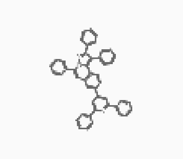 c1ccc(-c2cc(-c3ccc4c(c3)cc(-c3ccccc3)n3nc(-c5ccccc5)c(-c5ccccc5)c43)cc(-c3ccccc3)n2)cc1